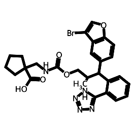 CC(COC(=O)NCC1(C(=O)O)CCCC1)C(c1ccc2occ(Br)c2c1)c1ccccc1-c1nnn[nH]1